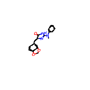 CN(C1=NC(=Cc2ccc3c(c2)OCO3)C(=O)N1)c1ccccc1